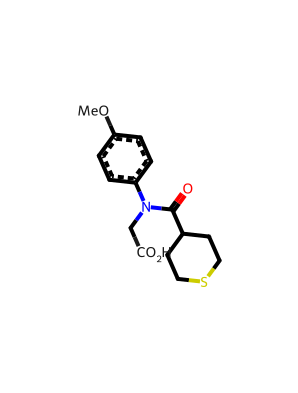 COc1ccc(N(CC(=O)O)C(=O)C2CCSCC2)cc1